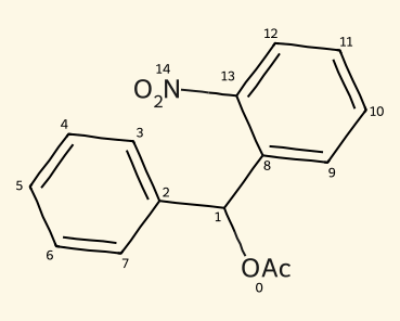 CC(=O)OC(c1ccccc1)c1ccccc1[N+](=O)[O-]